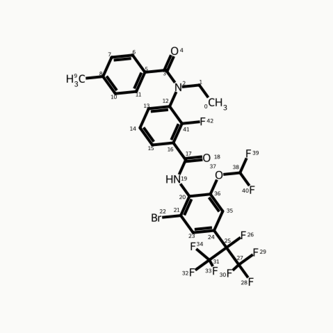 CCN(C(=O)c1ccc(C)cc1)c1cccc(C(=O)Nc2c(Br)cc(C(F)(C(F)(F)F)C(F)(F)F)cc2OC(F)F)c1F